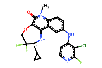 Cn1c(=O)c2c(c3cc(Nc4ccnc(F)c4Cl)ccc31)N[C@@H](C1CC1)C(F)(F)CO2